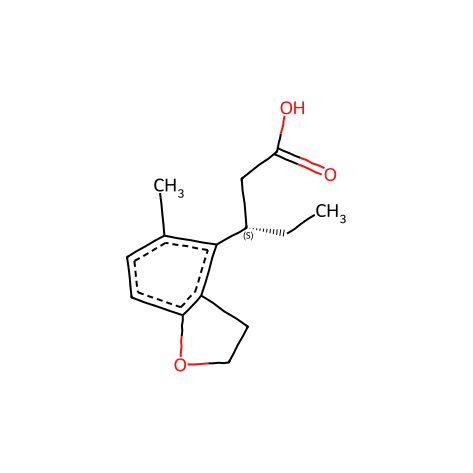 CC[C@@H](CC(=O)O)c1c(C)ccc2c1CCO2